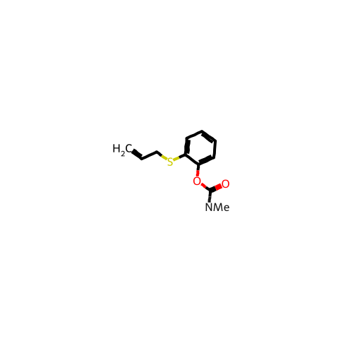 C=CCSc1ccccc1OC(=O)NC